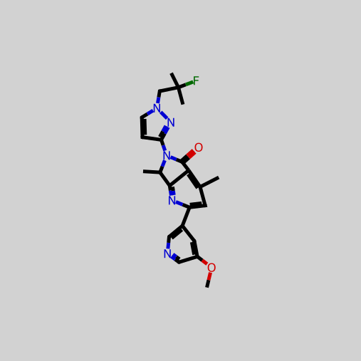 COc1cncc(-c2cc(C)c3c(n2)C(C)N(c2ccn(CC(C)(C)F)n2)C3=O)c1